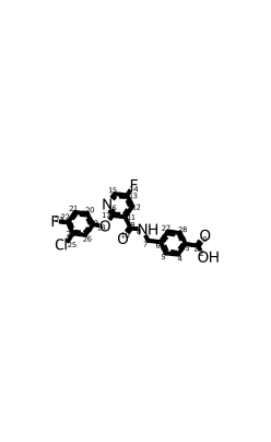 O=C(O)c1ccc(CNC(=O)c2cc(F)cnc2Oc2ccc(F)c(Cl)c2)cc1